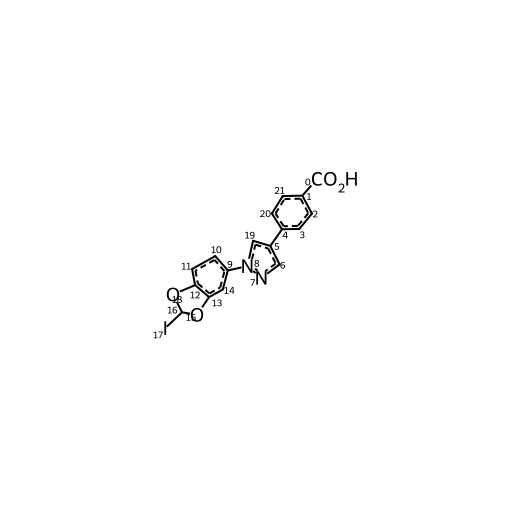 O=C(O)c1ccc(-c2cnn(-c3ccc4c(c3)OC(I)O4)c2)cc1